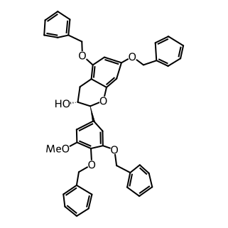 COc1cc([C@@H]2Oc3cc(OCc4ccccc4)cc(OCc4ccccc4)c3C[C@H]2O)cc(OCc2ccccc2)c1OCc1ccccc1